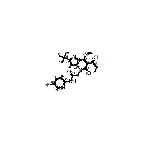 C=Nc1c(/C(Cl)=C\C)c(=O)n(CC(=O)Nc2ccc(F)cn2)c2cc(C(C)(C)C)nn12